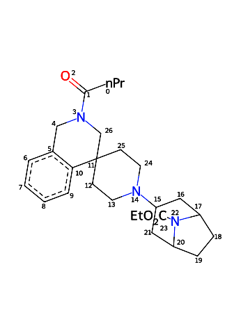 CCCC(=O)N1Cc2ccccc2C2(CCN(C3CC4CCC(C3)N4C(=O)OCC)CC2)C1